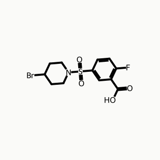 O=C(O)c1cc(S(=O)(=O)N2CCC(Br)CC2)ccc1F